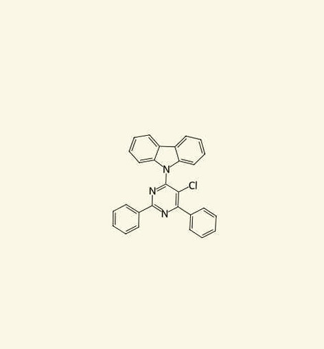 Clc1c(-c2ccccc2)nc(-c2ccccc2)nc1-n1c2ccccc2c2ccccc21